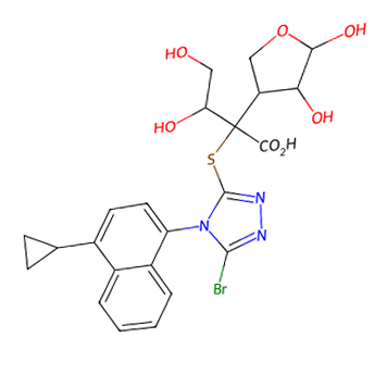 O=C(O)C(Sc1nnc(Br)n1-c1ccc(C2CC2)c2ccccc12)(C(O)CO)C1COC(O)C1O